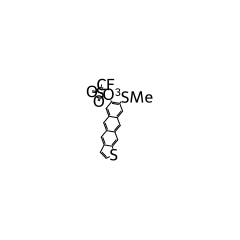 CSc1cc2cc3cc4sccc4cc3cc2cc1OS(=O)(=O)C(F)(F)F